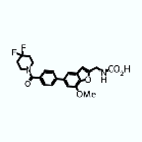 COc1cc(-c2ccc(C(=O)N3CCC(F)(F)CC3)cc2)cc2cc(CNC(=O)O)oc12